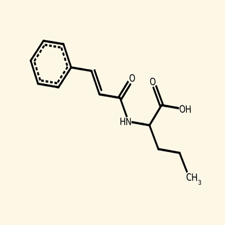 CCCC(NC(=O)/C=C/c1ccccc1)C(=O)O